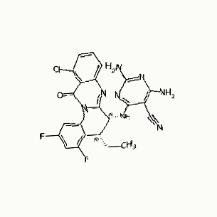 CC[C@@H]1c2c(F)cc(F)cc2-n2c(nc3cccc(Cl)c3c2=O)[C@@H]1Nc1nc(N)nc(N)c1C#N